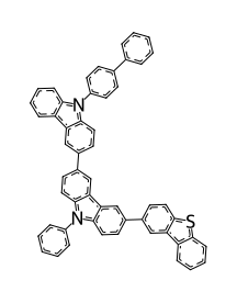 c1ccc(-c2ccc(-n3c4ccccc4c4cc(-c5ccc6c(c5)c5cc(-c7ccc8sc9ccccc9c8c7)ccc5n6-c5ccccc5)ccc43)cc2)cc1